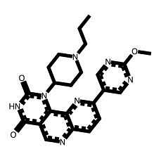 CCCN1CCC(n2c(=O)[nH]c(=O)c3cnc4ccc(-c5cnc(OC)nc5)nc4c32)CC1